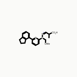 COCN(/N=C\C(C)C(=O)O)c1cccc(-c2cccc3c2CCC3)n1